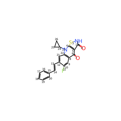 O=c1[nH]sc2c1c(=O)c1cc(F)c(/C=C/c3ccccc3)cc1n2C1CC1